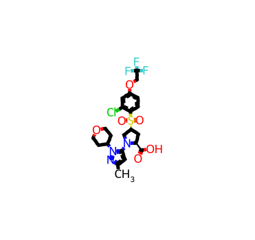 Cc1cc(N2C[C@H](S(=O)(=O)c3ccc(OCC(F)(F)F)cc3Cl)C[C@H]2C(=O)O)n(C2CCOCC2)n1